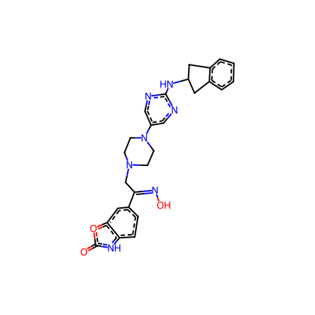 O=c1[nH]c2ccc(/C(CN3CCN(c4cnc(NC5Cc6ccccc6C5)nc4)CC3)=N\O)cc2o1